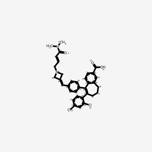 CN(C)C(=O)/C=C/CN1CC(=Cc2ccc(C3=C(c4ccc(Cl)cc4Cl)CCCc4cc(C(=O)O)ccc43)cc2)C1